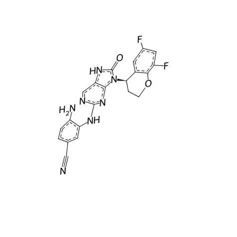 N#Cc1ccc(N)c(Nc2ncc3[nH]c(=O)n([C@@H]4CCOc5c(F)cc(F)cc54)c3n2)c1